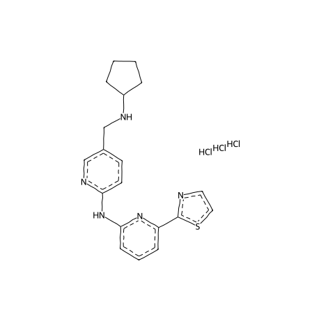 Cl.Cl.Cl.c1cc(Nc2ccc(CNC3CCCC3)cn2)nc(-c2nccs2)c1